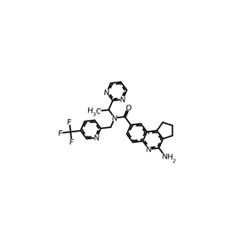 CC(c1ncccn1)N(Cc1ccc(C(F)(F)F)cn1)C(=O)c1ccc2nc(N)c3c(c2c1)CCC3